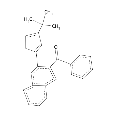 CC(C)(C)C1=CCC(c2cc3ccccc3cc2C(=O)c2ccccc2)=C1